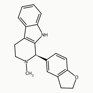 CN1CCc2c([nH]c3ccccc23)[C@H]1c1ccc2c(c1)CCO2